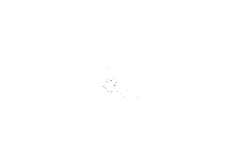 OCCc1ccn(C2CCCCO2)n1